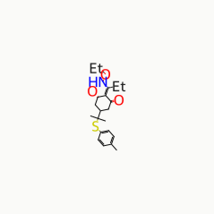 CCONC(CC)=C1C(=O)CC(C(C)(C)Sc2ccc(C)cc2)CC1=O